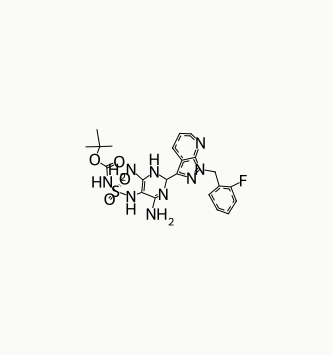 CC(C)(C)OC(=O)NS(=O)(=O)NC1=C(N)NC(c2nn(Cc3ccccc3F)c3ncccc23)N=C1N